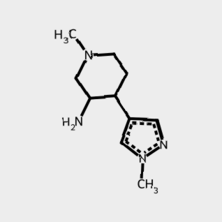 CN1CCC(c2cnn(C)c2)C(N)C1